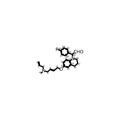 C=CCN(C)CC=CCOc1ccc2c(c1)CCCN2C(C=O)c1ccc(F)cc1